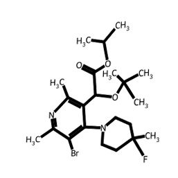 Cc1nc(C)c(C(OC(C)(C)C)C(=O)OC(C)C)c(N2CCC(C)(F)CC2)c1Br